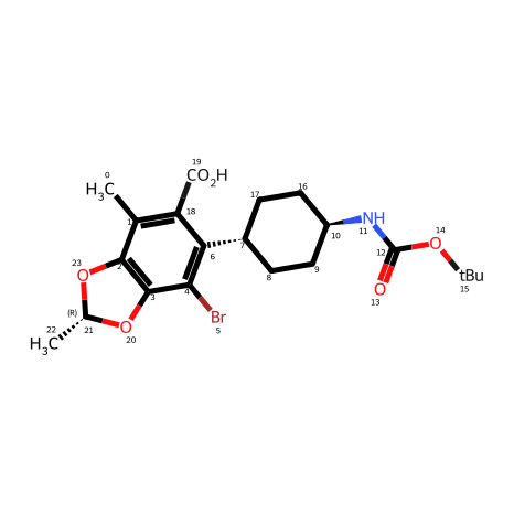 Cc1c2c(c(Br)c([C@H]3CC[C@H](NC(=O)OC(C)(C)C)CC3)c1C(=O)O)O[C@H](C)O2